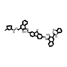 Cc1cccc(NOCc2cc3ccccc3c(N=Nc3ccc4c(c3)C(=O)c3cc(N=Nc5c(O)c(C(=O)Nc6ccccc6Br)cc6ccccc56)ccc3-4)c2O)c1